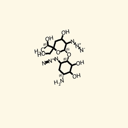 C[C@@H](O)C1(CO)CC(O)C(N=[N+]=[N-])[C@@H](O[C@@H]2C(N=[N+]=[N-])C[C@@H](N)C(O)C2O)O1